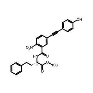 CC(C)(C)OC(=O)[C@H](CCc1ccccc1)NC(=O)c1cc(C#Cc2ccc(O)cc2)ccc1[N+](=O)[O-]